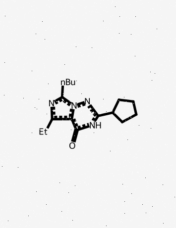 CCCCc1nc(CC)c2c(=O)[nH]c(C3CCCC3)nn12